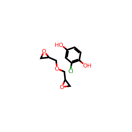 C(OCC1CO1)C1CO1.Oc1ccc(O)c(Cl)c1